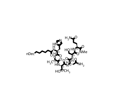 CCCCCCCCCCCCCCCC(=O)N[C@@H](Cc1cnc[nH]1)C(=O)N[C@@H](C)C(=O)N[C@H](C(=O)N[C@@H](CC(N)=O)C(=O)B[C@@H](CO)C(=O)N[C@@H](CCC(N)=O)C(=O)NC)[C@@H](C)O